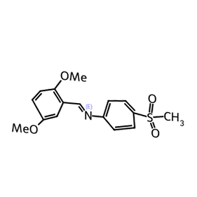 COc1ccc(OC)c(/C=N/c2ccc(S(C)(=O)=O)cc2)c1